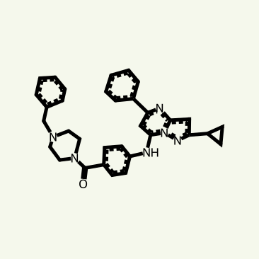 O=C(c1ccc(Nc2cc(-c3ccccc3)nc3cc(C4CC4)nn23)cc1)N1CCN(Cc2ccccc2)CC1